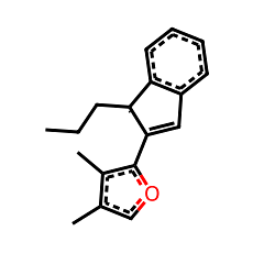 CCC[C]1C(c2occ(C)c2C)=Cc2ccccc21